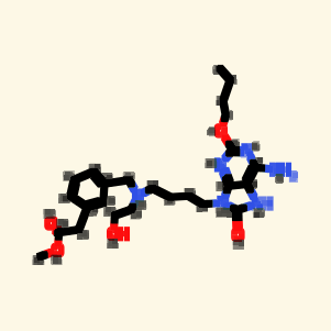 CCCCOc1nc(N)c2[nH]c(=O)n(CCCCN(CCO)Cc3cccc(CC(=O)OC)c3)c2n1